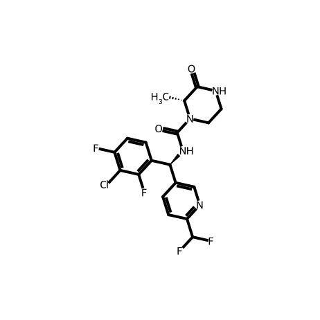 C[C@@H]1C(=O)NCCN1C(=O)N[C@@H](c1ccc(C(F)F)nc1)c1ccc(F)c(Cl)c1F